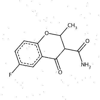 CC1Oc2ccc(F)cc2C(=O)C1C(N)=O